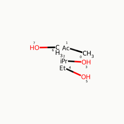 CC(C)=O.CC(C)O.CCO.CO